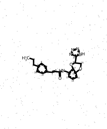 CCCc1ccc(/C=C/C(=O)Nc2cccc3c2OC(c2nnn[nH]2)CO3)cc1